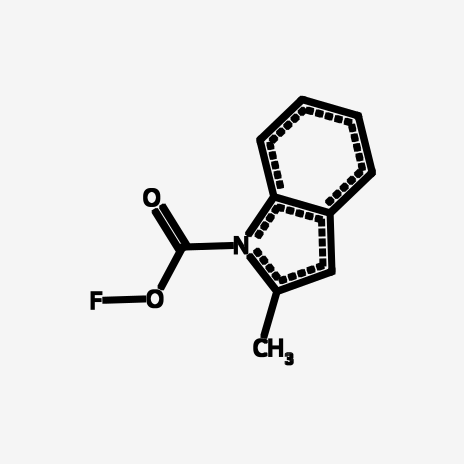 Cc1cc2ccccc2n1C(=O)OF